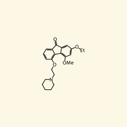 CCOc1cc(OC)c2c(c1)C(=O)c1cccc(OCCN3CCCCC3)c1-2